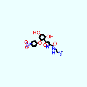 CN(C)CCNC(=O)c1cc(-c2c(O)cc(O)cc2Oc2ccc([N+](=O)[O-])cc2)on1